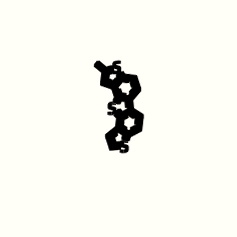 Cc1cc2c(ccc3c4ccc5sccc5c4sc23)s1